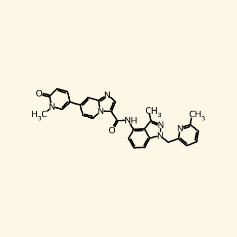 Cc1cccc(Cn2nc(C)c3c(NC(=O)c4cnc5cc(-c6ccc(=O)n(C)c6)ccn45)cccc32)n1